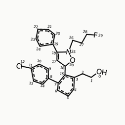 OCCc1cccc(-c2ccc(Cl)cc2)c1C1C=C(c2ccccc2)N(CCCF)O1